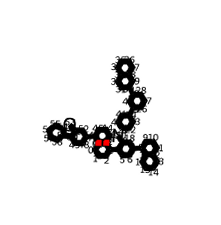 c1ccc(-c2ccc(-c3cccc4ccccc34)cc2N(c2ccc(-c3cccc(-c4ccc5ccccc5c4)c3)cc2)c2ccc(-c3ccc4c(c3)oc3ccccc34)cc2)cc1